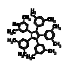 Cc1cc(C)cc(C2=C(c3cc(C)cc(C)c3)C(c3cc(C)cc(C)c3)C(c3cc(C)cc(C)c3)=C2c2cc(C)cc(C)c2)c1.[Na]